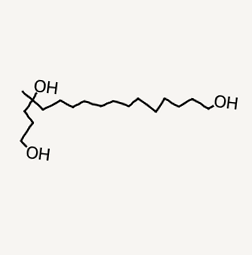 CC(O)(CCCO)CCCCCCCCCCCCCO